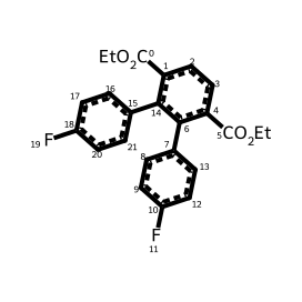 CCOC(=O)c1ccc(C(=O)OCC)c(-c2ccc(F)cc2)c1-c1ccc(F)cc1